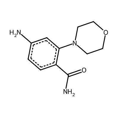 NC(=O)c1ccc(N)cc1N1CCOCC1